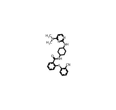 CN(C)c1ccnc(NC2CCC(NC(=O)c3ccccc3Sc3ccccc3C#N)CC2)n1